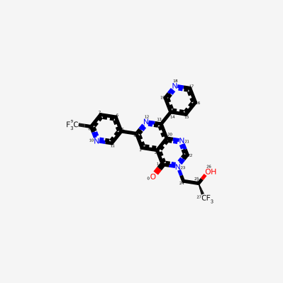 O=c1c2cc(-c3ccc(C(F)(F)F)nc3)nc(-c3cccnc3)c2ncn1C[C@@H](O)C(F)(F)F